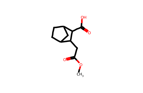 COC(=O)CC1C2CCC(C2)C1C(=O)O